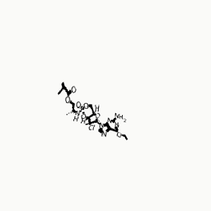 CCOc1nc(N)nc2c1ncn2[C@@H]1O[C@@H]2COP(=O)(N[C@H](C)COC(=O)C(C)C)O[C@H]2[C@@]1(C)Cl